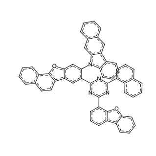 c1ccc2cc3c(cc2c1)c1ccccc1n3-c1cc2oc3c4ccccc4ccc3c2cc1-c1nc(-c2cccc3ccccc23)nc(-c2cccc3c2oc2ccccc23)n1